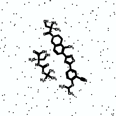 CC(C)(C)OC(=O)N[C@](C)(CO)C(=O)O.Cc1c(-c2noc(-c3ccc(OC(C)C)c(C#N)c3)n2)ccc2c1CCN(C(=O)[C@](C)(N)CO)C2